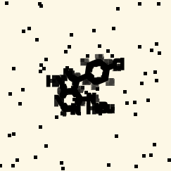 CC(C)(C)Nc1ncnc2[nH]nc(-c3ccc(Cl)cc3)c12